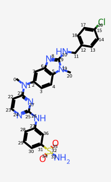 CN(c1ccc2c(c1)nc(NCc1ccc(Cl)cc1)n2C)c1ccnc(Nc2cccc(S(N)(=O)=O)c2)n1